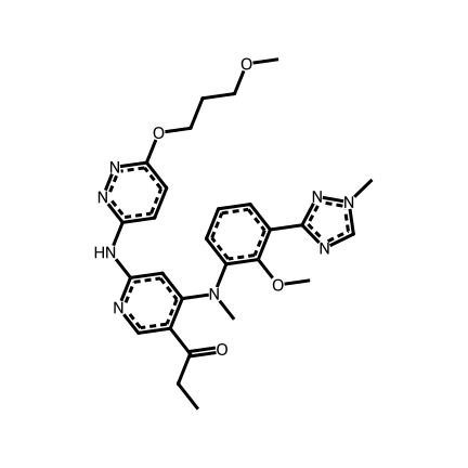 CCC(=O)c1cnc(Nc2ccc(OCCCOC)nn2)cc1N(C)c1cccc(-c2ncn(C)n2)c1OC